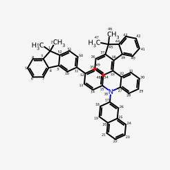 CC1(C)c2ccccc2-c2cc(-c3ccc(N(c4ccc5ccccc5c4)c4ccccc4-c4cccc5c4-c4ccccc4C5(C)C)cc3)ccc21